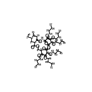 CCCCCC(=O)OCC1O[C@H](O[C@H]2O[C@H](COCCCC)[C@@H](OCCCC)C(OCCCC)C2OCCCC)C(OCCCC)C(OCCCC)[C@@H]1OCCCC